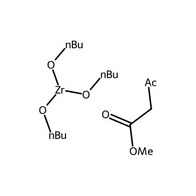 CCCC[O][Zr]([O]CCCC)[O]CCCC.COC(=O)CC(C)=O